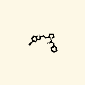 C#Cc1ccc2oc(CCC3CCCN3C(=O)Cc3ccccc3)cc2c1